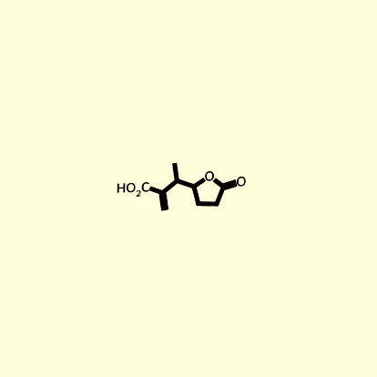 C=C(C(=O)O)C(C)C1CCC(=O)O1